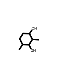 CC1CCC(O)C(C)C1O